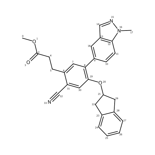 COC(=O)CCc1cc(-c2ccc3c(cnn3C)c2)c(OC2Cc3ccccc3C2)cc1C#N